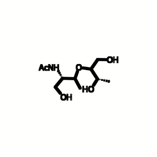 CC(=O)N[C@@H](CO)C(C)OC(CO)[C@H](C)O